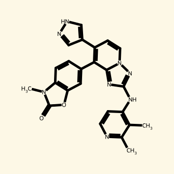 Cc1nccc(Nc2nc3c(-c4ccc5c(c4)oc(=O)n5C)c(-c4cn[nH]c4)ccn3n2)c1C